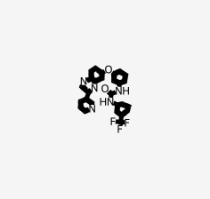 O=C(Nc1cccc(Oc2ccc3ncc(-c4cccnc4)nc3c2)c1)Nc1cccc(C(F)(F)F)c1